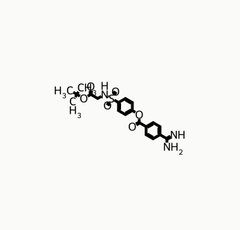 CC(C)(C)OC(=O)CNS(=O)(=O)c1ccc(OC(=O)c2ccc(C(=N)N)cc2)cc1